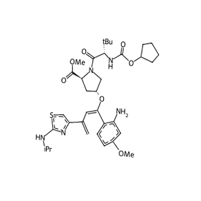 C=C(/C=C(/O[C@@H]1C[C@@H](C(=O)OC)N(C(=O)[C@@H](NC(=O)OC2CCCC2)C(C)(C)C)C1)c1ccc(OC)cc1N)c1csc(NC(C)C)n1